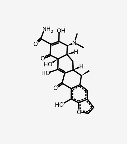 C[C@H]1c2cc3ccoc3c(O)c2C(=O)C2=C(O)[C@]3(O)C(=O)C(C(N)=O)=C(O)[C@@H](N(C)C)[C@@H]3C[C@@H]21